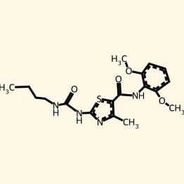 CCCCNC(=O)Nc1nc(C)c(C(=O)Nc2c(OC)cccc2OC)s1